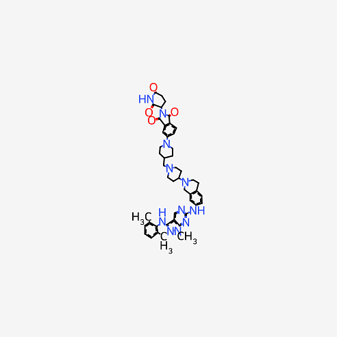 Cc1cccc(C)c1Nc1nn(C)c2nc(Nc3ccc4c(c3)CN(C3CCN(CC5CCN(c6ccc7c(c6)C(=O)N(C6CCC(=O)NC6=O)C7=O)CC5)CC3)CC4)ncc12